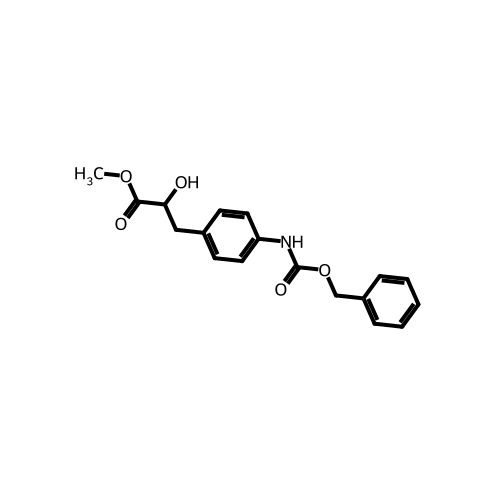 COC(=O)C(O)Cc1ccc(NC(=O)OCc2ccccc2)cc1